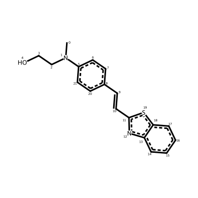 CN(CCO)c1ccc(/C=C/c2nc3ccccc3s2)cc1